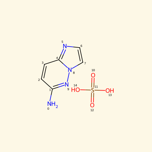 Nc1ccc2nccn2n1.O=S(=O)(O)O